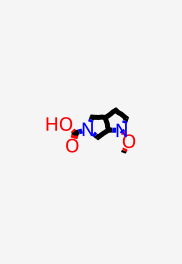 CON1CCC2CN(C(=O)O)CC21